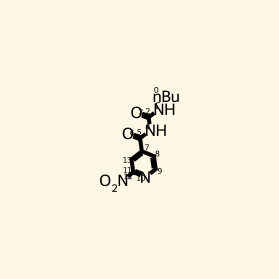 CCCCNC(=O)NC(=O)c1ccnc([N+](=O)[O-])c1